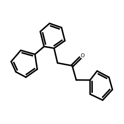 O=C(Cc1ccccc1)Cc1ccccc1-c1ccccc1